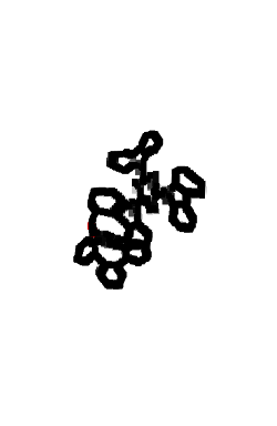 c1ccc2c(c1)-c1ccccc1[Si]1(c3ccccc3-2)c2ccccc2-c2cccc3c2c2c1cccc2n3-c1nc(-n2c3ccccc3c3ccccc32)nc(-n2c3ccccc3c3ccccc32)n1